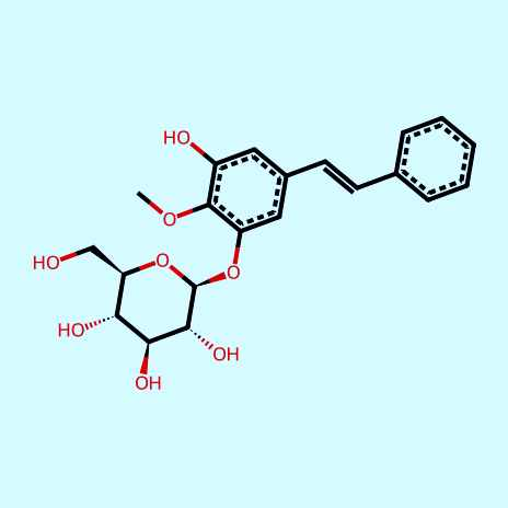 COc1c(O)cc(C=Cc2ccccc2)cc1O[C@@H]1O[C@H](CO)[C@@H](O)[C@H](O)[C@H]1O